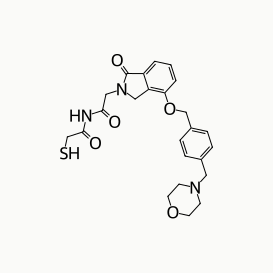 O=C(CS)NC(=O)CN1Cc2c(OCc3ccc(CN4CCOCC4)cc3)cccc2C1=O